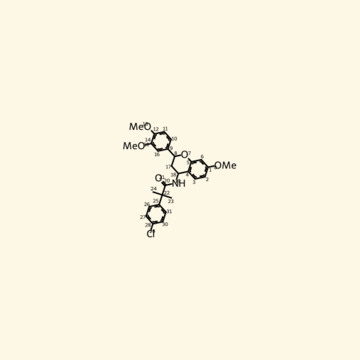 COc1ccc2c(c1)OC(c1ccc(OC)c(OC)c1)CC2NC(=O)C(C)(C)c1ccc(Cl)cc1